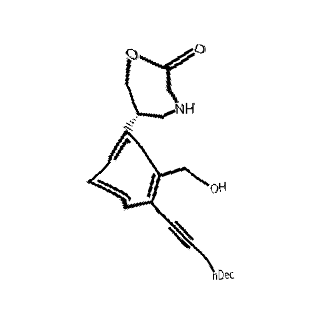 CCCCCCCCCCC#Cc1cccc([C@@H]2COC(=O)N2)c1CO